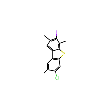 Cc1cc2c(cc1Cl)sc1c(C)c(I)c(C)cc12